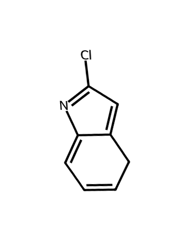 ClC1=NC2=CC=CCC2=C1